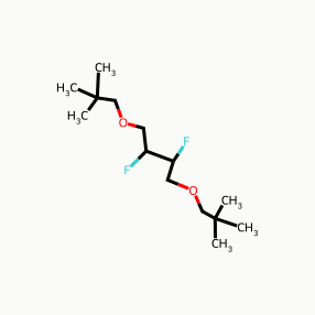 CC(C)(C)COCC(F)C(F)COCC(C)(C)C